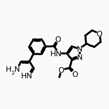 COC(=O)c1nn(C2CCOCC2)cc1NC(=O)c1cccc(/C(C=N)=C/N)c1